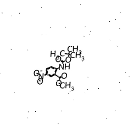 COC(=O)c1cc([N+](=O)[O-])ccc1NC(=O)OC(C)(C)C